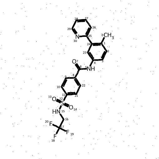 Cc1ccc(NC(=O)c2ccc(S(=O)(=O)NCC(F)(F)F)cc2)cc1-c1ccccn1